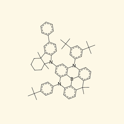 CC(C)(C)c1ccc(N2c3cc(N4c5ccc(-c6ccccc6)cc5C5(C)CCCCC45C)cc4c3B3c5c2cccc5C(C)(C)c2cccc(c23)N4c2cc(C(C)(C)C)cc(C(C)(C)C)c2)cc1